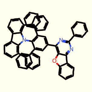 c1ccc(-c2nc(-c3cc(-c4ccccc4)c(-n4c5c(-c6ccccc6)cccc5c5cccc(-c6ccccc6)c54)c(-c4ccccc4)c3)c3oc4ccccc4c3n2)cc1